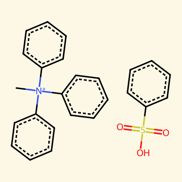 C[N+](c1ccccc1)(c1ccccc1)c1ccccc1.O=S(=O)(O)c1ccccc1